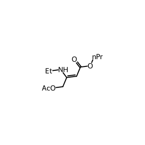 CCCOC(=O)C=C(COC(C)=O)NCC